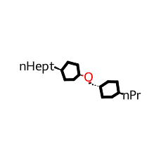 CCCCCCC[C@H]1CC[C@H](OC[C@H]2CC[C@H](CCC)CC2)CC1